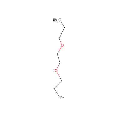 CC(C)CCOCCOCCOCC(C)C